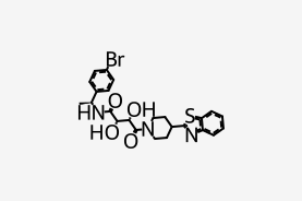 C[C@H](NC(=O)[C@H](O)[C@@H](O)C(=O)N1CCC(c2nc3ccccc3s2)CC1)c1ccc(Br)cc1